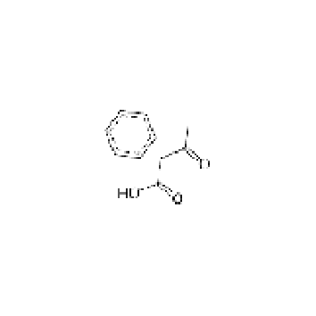 CC(=O)CC(=O)O.c1ccccc1